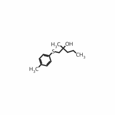 CCCC(C)(O)CSc1ccc(C)cc1